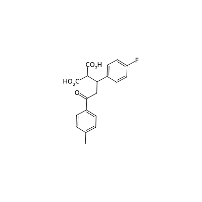 Cc1ccc(C(=O)CC(c2ccc(F)cc2)C(C(=O)O)C(=O)O)cc1